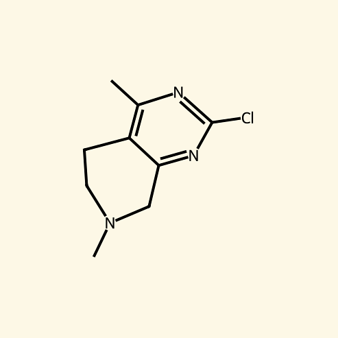 Cc1nc(Cl)nc2c1CCN(C)C2